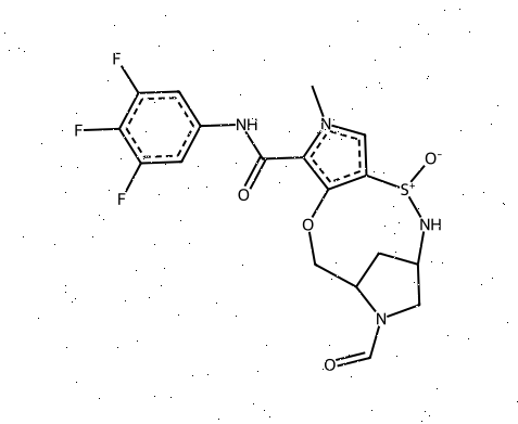 Cn1cc2c(c1C(=O)Nc1cc(F)c(F)c(F)c1)OCC1CC(CN1C=O)N[S+]2[O-]